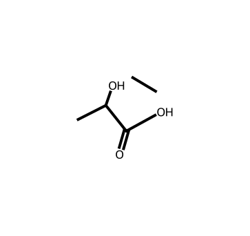 CC.CC(O)C(=O)O